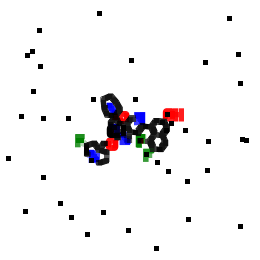 C=CC(=O)N1C2CCC1CC(c1nc(OC[C@@]34CCCN3C[C@H](F)C4)nc3c(F)c(-c4cc(O)cc5ccc(F)c(F)c45)ncc13)C2